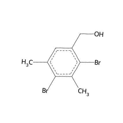 Cc1cc(CO)c(Br)c(C)c1Br